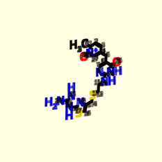 Cc1ccc(Cc2cnc(NCCSCc3csc(NC(=N)N)n3)[nH]c2=O)c[n+]1[O-]